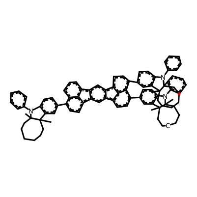 CC12CCCCCCC1(C)N(c1ccccc1)c1ccc(-c3ccc4c5cc6c(cc5c5cccc3c54)c3ccc(-c4ccc5c(c4)C4(C)CCCCCCC4(C)N5c4ccccc4)c4c(-c5ccc7c(c5)C5(C)CCCCCCC5(C)N7c5ccccc5)ccc6c43)cc12